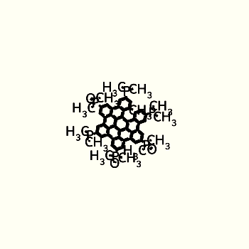 Cc1cc(P(C)C)cc2c3cc(P(C)(C)=O)cc4c5cc(P(C)C)cc6c7cc(P(C)(C)=O)cc8c9cc(P(C)(C)=O)cc%10c%11cc(P(C)C)ccc%11c%11c(c12)c(c34)c(c56)c(c87)c%11c%109